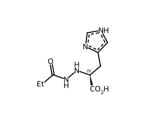 CCC(=O)NN[C@@H](Cc1c[nH]cn1)C(=O)O